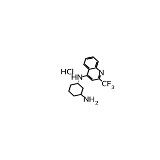 Cl.NC1CCC[C@H](Nc2cc(C(F)(F)F)nc3ccccc23)C1